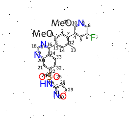 COc1cc(-c2cc(F)cnc2OC)c(C)cc1-c1ncnc2cc(S(=O)(=O)Nc3ccon3)ccc12